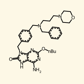 CCCCOc1nc(N)c2[nH]c(=O)n(Cc3ccc(CN(CCCN4CCOCC4)Cc4ccccc4)cc3)c2n1